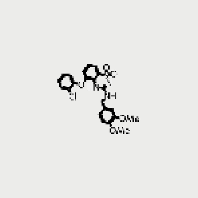 COc1ccc(CNC2=NS(=O)(=O)c3cccc(Oc4ccccc4Cl)c3N2)cc1OC